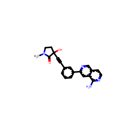 CN1CCC(O)(C#Cc2cccc(-c3cc4c(N)nccc4cn3)c2)C1=O